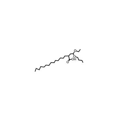 CCCCCCCCCCCCCCC(CC(OCC)OCCCC)C(=O)O